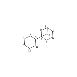 C1CCC(C23CCCC(C2)C3)CC1